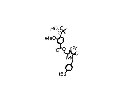 CCCn1c(COC(=O)c2ccc(OC(C)(C)C(=O)O)c(OC)c2)nn(Cc2ccc(C(C)(C)C)cc2)c1=O